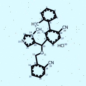 Cc1ccccc1-c1cc(C(OCc2ccccc2C#N)c2cncn2C)ccc1C#N.Cl